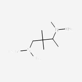 CCCC(C)N(CC(C)(C)C(C)N(C)C(C)(C)C)C(C)(C)C